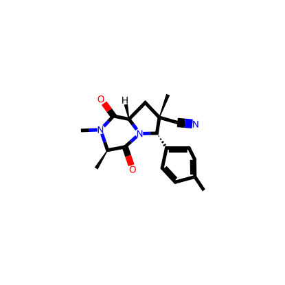 Cc1ccc([C@@H]2N3C(=O)[C@@H](C)N(C)C(=O)[C@@H]3C[C@]2(C)C#N)cc1